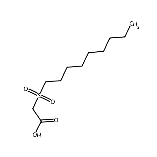 CCCCCCCCCS(=O)(=O)CC(=O)O